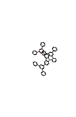 c1ccc(-c2cc(-c3ccccc3)cc(-c3ccc4c(c3)c3cc(-c5cc(-c6ccccc6)cc(-c6ccccc6)c5)ccc3n4-c3ccccc3-c3cc(-c4ccccc4)cc(-c4ccccc4)c3)c2)cc1